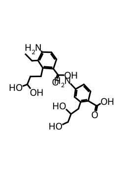 CCc1c(N)ccc(C(=O)O)c1CCC(O)O.Nc1ccc(C(=O)O)c(CC(O)CO)c1